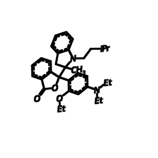 CCOc1cc(N(CC)CC)ccc1C1(C2(C)Cc3ccccc3N2CCC(C)C)OC(=O)c2ccccc21